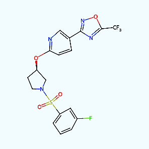 O=S(=O)(c1cccc(F)c1)N1CC[C@@H](Oc2ccc(-c3noc(C(F)(F)F)n3)cn2)C1